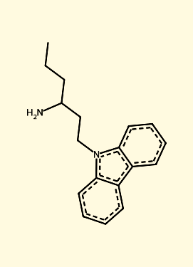 CCCC(N)CCn1c2ccccc2c2ccccc21